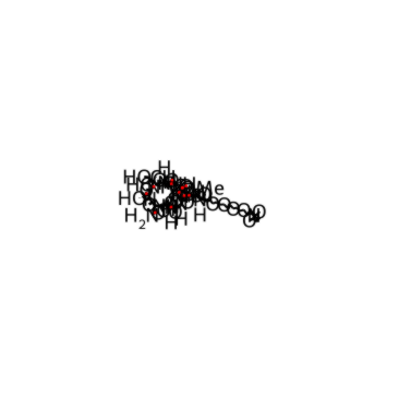 CC[C@H](C)[C@@H]1NC(=O)CNC(=O)[C@@H]2Cc3c([nH]c4c(CSCCNC(=O)CCOCCOCCOCCOCCN5C(=O)C=CC5=O)c(OC)ccc34)[S+]([O-])C[C@H](NC(=O)CNC1=O)C(=O)N[C@@H](CC(N)=O)C(=O)N1C[C@H](O)CC1C(=O)N[C@@H]([C@@H](C)[C@@H](O)CO)C(=O)N2